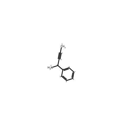 CC#CC(N)c1ccccc1